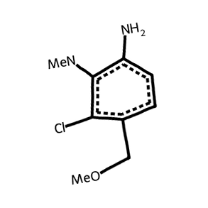 CNc1c(N)ccc(COC)c1Cl